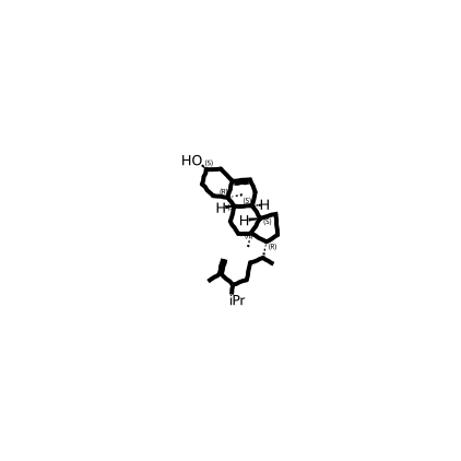 C=C(C)C(CCC(C)[C@H]1CC[C@H]2[C@@H]3CC=C4C[C@@H](O)CC[C@]4(C)[C@H]3CC[C@]12C)C(C)C